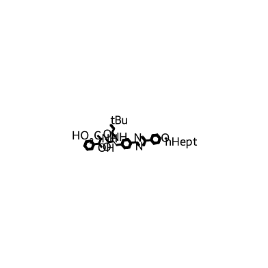 CCCCCCCOc1ccc(-c2cnc(-c3ccc(C[C@H](NC(=O)/C=C/C(C)(C)C)C(=O)NC(C(=O)O)C(O)c4ccccc4)cc3)nc2)cc1